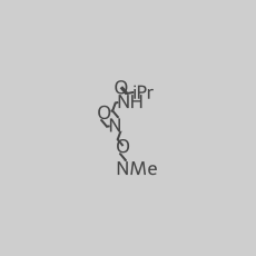 CNCCOCCN1CCOC(CNC(=O)C(C)C)C1